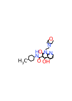 C[C@H]1CC[C@@H](NC(=O)c2c(O)c3cccnc3n(CCN3CC4CC3CO4)c2=O)CC1